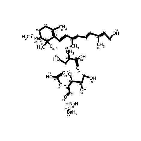 CC1=C(/C=C/C(C)=C/C=C/C(C)=C/CO)C(C)(C)CCC1.Cl.NC(CO)C(=O)O.O=C[C@H](OC(=O)O)[C@@H](O)[C@H](O)CO.P.[BaH2].[CaH2].[NaH]